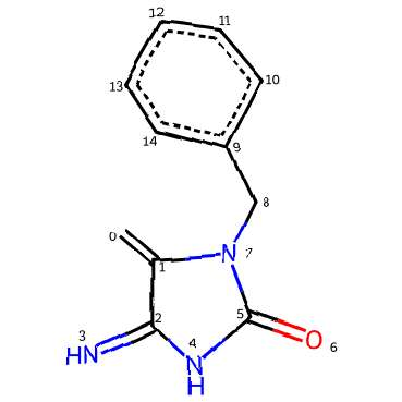 C=C1C(=N)NC(=O)N1Cc1ccccc1